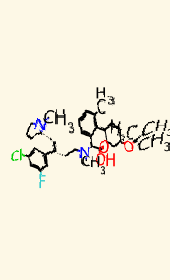 Cc1cccc([C@H](C(=O)O)N(C)CC[C@@H](C[C@@H]2CCCN2C)c2cc(F)cc(Cl)c2)c1C1CCC(OC(C)(C)C)CC1